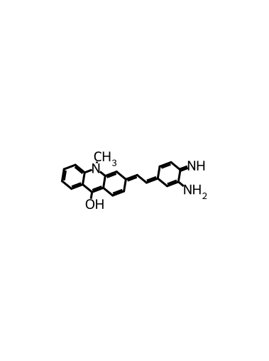 CN1c2ccccc2C(O)=c2cc/c(=C\C=C3/C=CC(=N)C(N)=C3)cc21